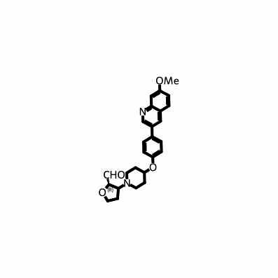 COc1ccc2cc(-c3ccc(OC4CCN(C5CCO[C@H]5C=O)CC4)cc3)cnc2c1